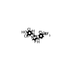 Oc1c(Cl)cc(Nc2ncc(F)c(Nc3ccc(OC(F)(F)F)c(Cl)c3)n2)cc1Cl